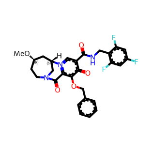 CO[C@@H]1CCN2C[C@H](C1)n1cc(C(=O)NCc3c(F)cc(F)cc3F)c(=O)c(OCc3ccccc3)c1C2=O